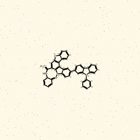 C=C1NC2C=CC=C/C2=N/n2c3ccc(-c4ccc5c6ccccc6n(-c6ccccc6)c5c4)cc3c3c4c(cc1c32)oc1ccccc14